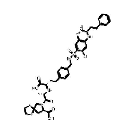 C[C@H](N[C@@H](CCc1ccc(CNS(=O)(=O)c2cc3c(cc2Cl)NC(CCc2ccccc2)NS3)cc1)C(=O)O)C(=O)N1CC2(CC1C(=O)O)SCCS2